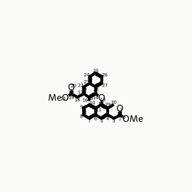 COC(=O)Cc1cc2ccccc2c(Oc2c(C)c(CC(=O)OC)cc3ccccc23)c1C